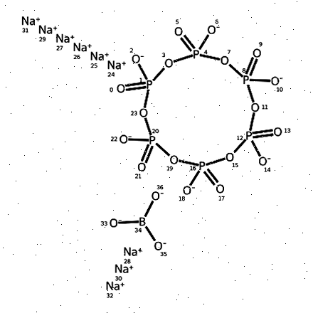 O=P1([O-])OP(=O)([O-])OP(=O)([O-])OP(=O)([O-])OP(=O)([O-])OP(=O)([O-])O1.[Na+].[Na+].[Na+].[Na+].[Na+].[Na+].[Na+].[Na+].[Na+].[O-]B([O-])[O-]